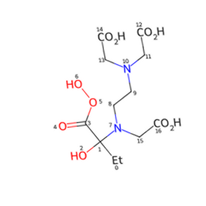 CCC(O)(C(=O)OO)N(CCN(CC(=O)O)CC(=O)O)CC(=O)O